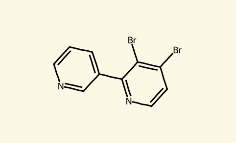 Brc1ccnc(-c2cccnc2)c1Br